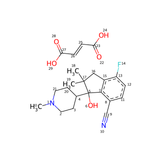 CN1CCC(C2(O)c3c(C#N)ccc(F)c3CC2(C)C)CC1.O=C(O)C=CC(=O)O